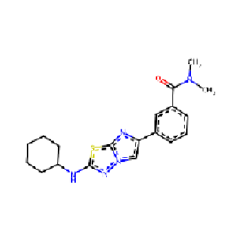 CN(C)C(=O)c1cccc(-c2cn3nc(NC4CCCCC4)sc3n2)c1